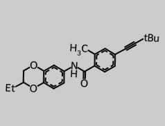 CCC1COc2cc(NC(=O)c3ccc(C#CC(C)(C)C)cc3C)ccc2O1